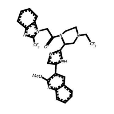 COc1nc2ccccc2cc1-c1cnc(C2CN(CC(F)(F)F)CCN2C(=O)Cn2c(C(F)(F)F)nc3ccccc32)[nH]1